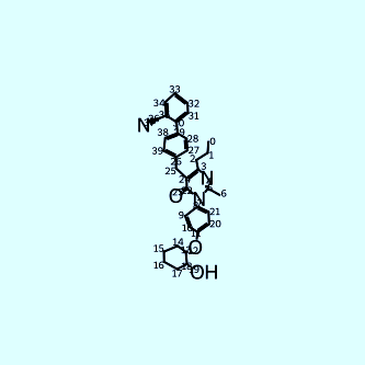 CCCc1nc(C)n(-c2ccc(O[C@H]3CCCC[C@@H]3O)cc2)c(=O)c1Cc1ccc(-c2ccccc2C#N)cc1